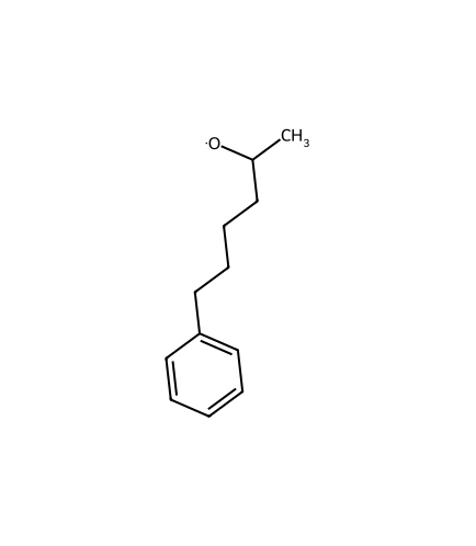 CC([O])CCCCc1ccccc1